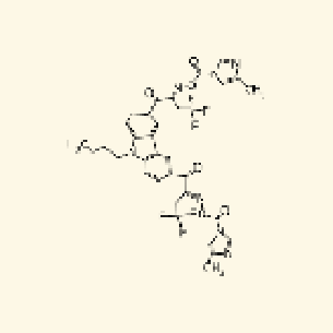 CCCCn1c2ccc(C(=O)/C(CC(F)(F)F)=N/OC(=O)n3cnc(C)c3)cc2c2cc(C(=O)/C(CC(F)(F)F)=N/OC(=O)n3cnc(C)c3)ccc21